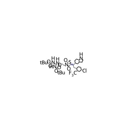 CC(C)(C)OC(=O)NC(NOCCN1C(=O)S/C(=C(/Cc2ccc(Cl)cc2C(F)(F)F)c2ccc3[nH]ccc3c2)C1=O)NC(=O)OC(C)(C)C